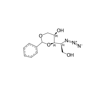 [N-]=[N+]=N[C@@H](CO)[C@H]1OC(c2ccccc2)OC[C@H]1O